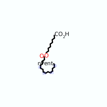 CCCCC/C=C\C/C=C\C/C=C\C/C=C\CCCC(=O)OCCCCCCCCCC(=O)O